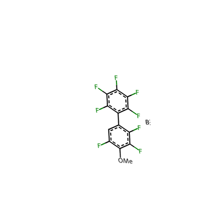 COc1c(F)cc(-c2c(F)c(F)c(F)c(F)c2F)c(F)c1F.[B]